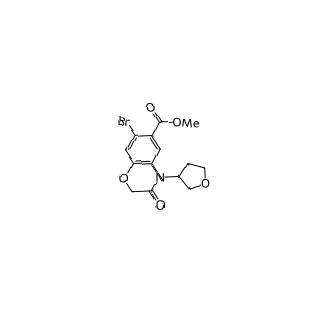 COC(=O)c1cc2c(cc1Br)OCC(=O)N2C1CCOC1